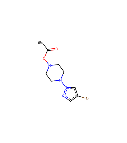 CC(C)(C)C(=O)ON1CCN(n2cc(Br)cn2)CC1